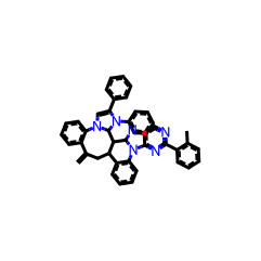 C=C1CC2c3ccccc3N3c4nc(-c5ccccc5C)ncc4N(C)C3C2C2N(C=C(c3ccccc3)N2c2ccccc2)c2ccccc21